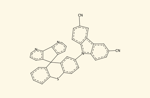 N#Cc1ccc2c(c1)c1cc(C#N)ccc1n2-c1ccc2c(c1)C1(c3ccccc3S2)c2cccnc2-c2ncccc21